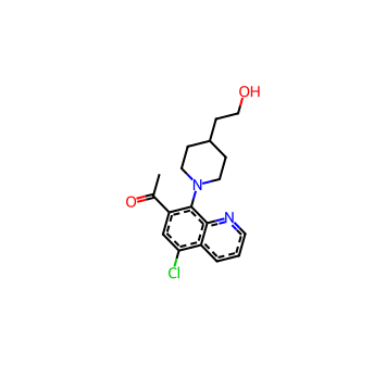 CC(=O)c1cc(Cl)c2cccnc2c1N1CCC(CCO)CC1